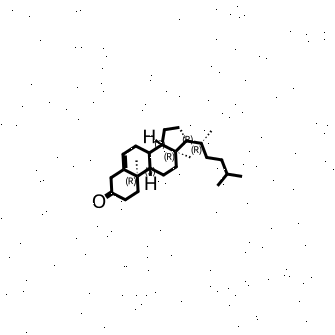 CC(C)CC[C@@H](C)[C@H]1CC[C@H]2C3CC=C4CC(=O)CC[C@]4(C)[C@H]3CC[C@]12C